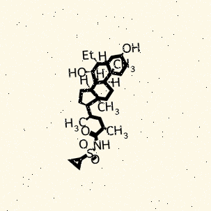 CC[C@H]1[C@@H](O)[C@@H]2[C@H](CC[C@]3(C)[C@@H]([C@H](C)C[C@@H](C)C(=O)NS(=O)(=O)C4CC4)CC[C@@H]23)[C@@]2(C)CC[C@@H](O)C[C@@H]12